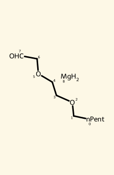 CCCCCCOCCOCC=O.[MgH2]